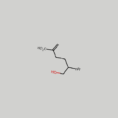 C=C(CCC(CO)CCC)C(=O)O